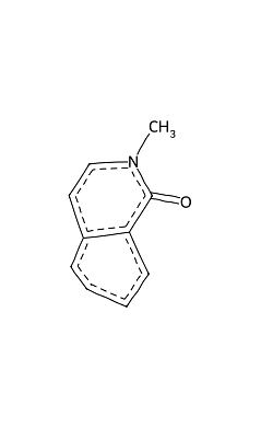 Cn1ccc2ccccc2c1=O